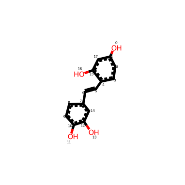 Oc1ccc(C=Cc2ccc(O)c(O)c2)c(O)c1